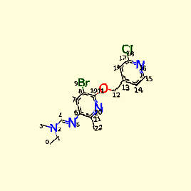 CCN(C)/C=N/c1cc(Br)c(OCc2ccnc(Cl)c2)nc1C